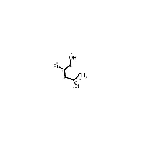 CC[C@@H](C)C[C@@H](CC)CO